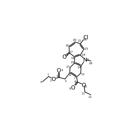 CCOC(=O)CC1=C(C(=O)OCC)Cc2c(c3c(=O)ccc(Cl)cc3n2C)C1